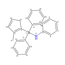 CC1=C([Si](Nc2ccccc2)(c2ccccc2)c2ccccc2)CC=C1